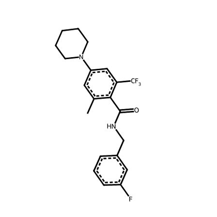 Cc1cc(N2CCCCC2)cc(C(F)(F)F)c1C(=O)NCc1cccc(F)c1